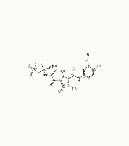 C#CC1(NC(=O)C(=O)c2c(C)c(C(=O)Nc3ccc(F)c(C#N)c3)n(C)c2C)CCS(=O)(=O)C1